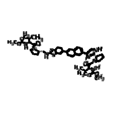 COC(=O)N[C@H](C(=O)N1CCC[C@H]1CNc1nc2ccc(-c3ccc4cc(-c5c[nH]c([C@@H]6CCCN6C(=O)[C@@H](NC(=O)OC)C(C)C)n5)ccc4c3)cc2s1)C(C)C